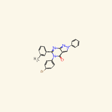 Cc1cccc(-c2nc3nn(-c4ccccc4)cc3c(=O)n2-c2ccc(Br)cc2)c1